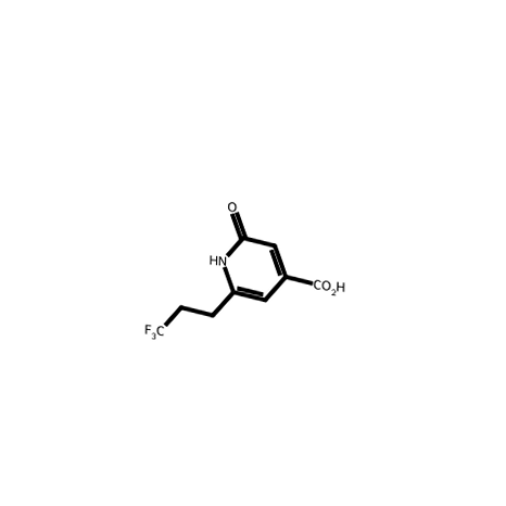 O=C(O)c1cc(CCC(F)(F)F)[nH]c(=O)c1